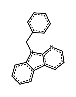 c1ccc(Cn2c3ccccc3c3cccnc32)cc1